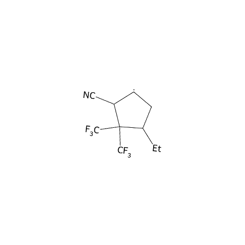 [CH2]CC1C[CH]C(C#N)C1(C(F)(F)F)C(F)(F)F